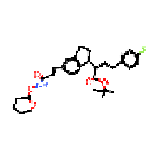 CC(C)(C)OC(=O)C(CCc1ccc(F)cc1)C1CCc2cc(/C=C/C(=O)NOC3CCCCO3)ccc21